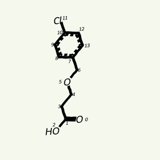 O=C(O)CCOCc1ccc(Cl)cc1